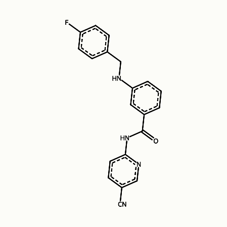 N#Cc1ccc(NC(=O)c2cccc(NCc3ccc(F)cc3)c2)nc1